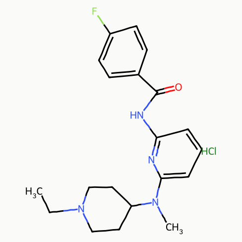 CCN1CCC(N(C)c2cccc(NC(=O)c3ccc(F)cc3)n2)CC1.Cl